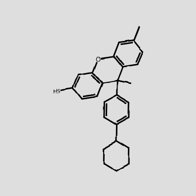 Cc1ccc2c(c1)Oc1cc(S)ccc1C2(C)c1ccc(C2CCCCC2)cc1